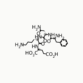 NCCCC[C@H](NC(=O)[C@H](CC(N)=O)NC(=O)[C@@H](N)Cc1ccccc1)C(=O)N[C@@H](CCC(=O)O)C(=O)O